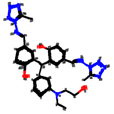 CCN(CCO)c1cccc(C(c2cc(C=Nn3nnnc3C)ccc2O)c2cc(C=Nn3nnnc3C)ccc2O)c1